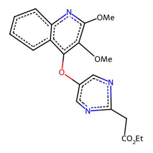 CCOC(=O)Cc1ncc(Oc2c(OC)c(OC)nc3ccccc23)cn1